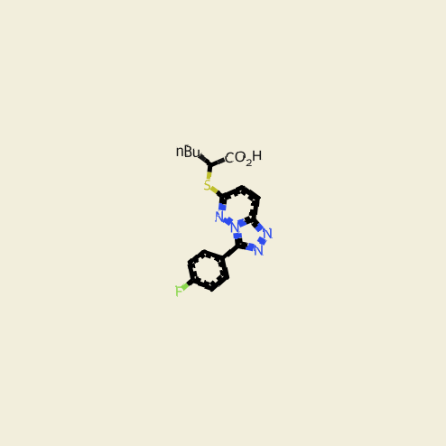 CCCCC(Sc1ccc2nnc(-c3ccc(F)cc3)n2n1)C(=O)O